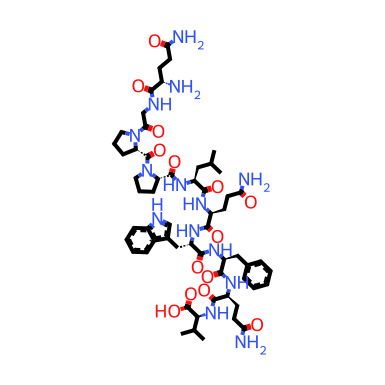 CC(C)C[C@H](NC(=O)[C@@H]1CCCN1C(=O)[C@@H]1CCCN1C(=O)CNC(=O)[C@@H](N)CCC(N)=O)C(=O)N[C@@H](CCC(N)=O)C(=O)N[C@@H](Cc1c[nH]c2ccccc12)C(=O)N[C@@H](Cc1ccccc1)C(=O)N[C@@H](CCC(N)=O)C(=O)N[C@H](C(=O)O)C(C)C